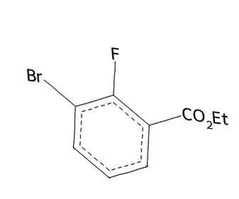 CCOC(=O)c1cccc(Br)c1F